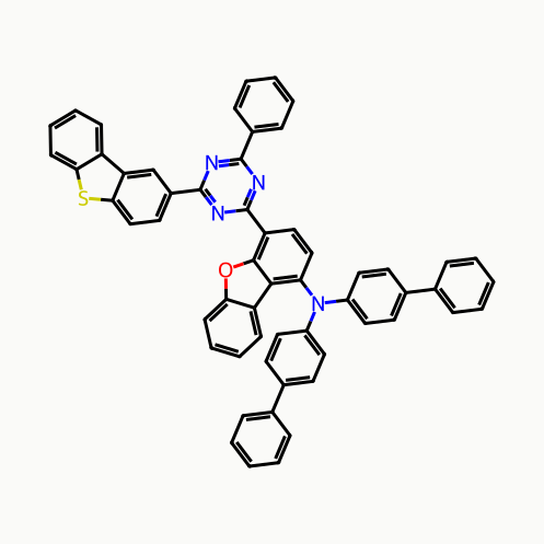 c1ccc(-c2ccc(N(c3ccc(-c4ccccc4)cc3)c3ccc(-c4nc(-c5ccccc5)nc(-c5ccc6sc7ccccc7c6c5)n4)c4oc5ccccc5c34)cc2)cc1